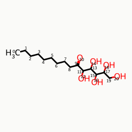 CCCCCCCCCC(=O)C(O)C(O)C(O)C(O)CO